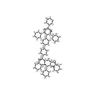 c1ccc(-c2nc(-c3ccccc3)c(-c3ccc(-c4ccc(-c5nc6ccccc6c6c(-c7ccccc7)c7c(cc56)oc5ccccc57)cc4)cc3)c(-c3ccccc3)n2)cc1